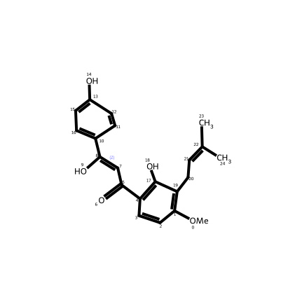 COc1ccc(C(=O)/C=C(\O)c2ccc(O)cc2)c(O)c1CC=C(C)C